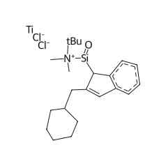 CC(C)(C)[N+](C)(C)[Si](=O)C1C(CC2CCCCC2)=Cc2ccccc21.[Cl-].[Cl-].[Ti]